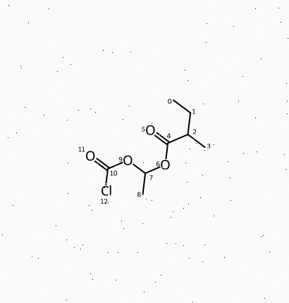 CCC(C)C(=O)OC(C)OC(=O)Cl